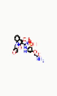 NC(=O)COc1ccc2c(c1)P(=O)(O)N=C(c1c(O)c3ccccc3n(Cc3ccoc3)c1=O)N2